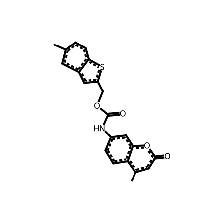 Cc1ccc2sc(COC(=O)Nc3ccc4c(C)cc(=O)oc4c3)cc2c1